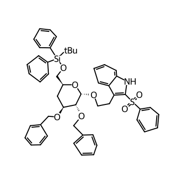 CC(C)(C)[Si](OC[C@@H]1C[C@H](OCc2ccccc2)[C@@H](OCc2ccccc2)[C@@H](OCCc2c(S(=O)(=O)c3ccccc3)[nH]c3ccccc23)O1)(c1ccccc1)c1ccccc1